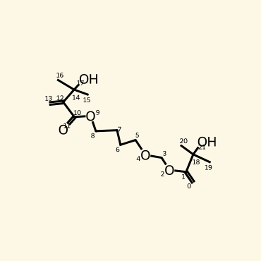 C=C(OCOCCCCOC(=O)C(=C)C(C)(C)O)C(C)(C)O